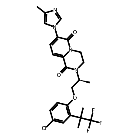 Cc1cn(-c2ccc3n(c2=O)CCN([C@@H](C)COc2ccc(Cl)cc2C(C)(C)C(F)(F)F)C3=O)cn1